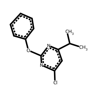 CC(C)c1cc(Cl)nc(Oc2ccccc2)n1